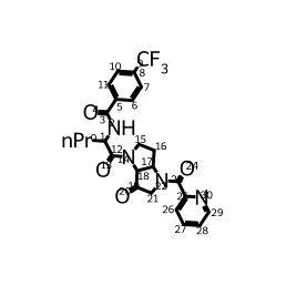 CCCC(NC(=O)c1ccc(C(F)(F)F)cc1)C(=O)N1CCC2C1C(=O)CN2C(=O)c1ccccn1